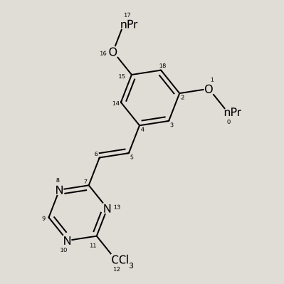 CCCOc1cc(C=Cc2ncnc(C(Cl)(Cl)Cl)n2)cc(OCCC)c1